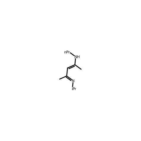 CCCNC(C)=CC(C)=NC(C)C